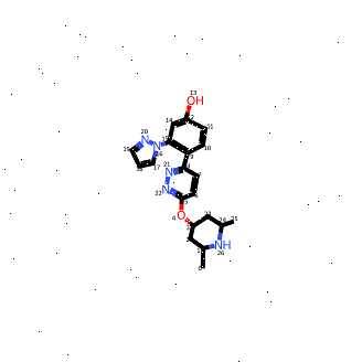 CC1CC(Oc2ccc(-c3ccc(O)cc3-n3cccn3)nn2)CC(C)N1